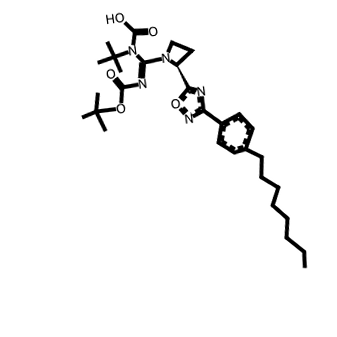 CCCCCCCCc1ccc(-c2noc([C@@H]3CCN3C(=NC(=O)OC(C)(C)C)N(C(=O)O)C(C)(C)C)n2)cc1